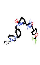 CN1CCN(c2cccc(Cn3cc(-c4noc(-c5ccc(OC(F)F)cc5)n4)ccc3=O)c2)CC1